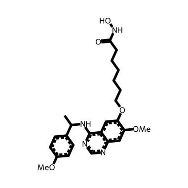 COc1ccc(C(C)Nc2ncnc3cc(OC)c(OCCCCCCC(=O)NO)cc23)cc1